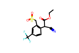 CCOC(=O)C(C#N)c1ccc(C(F)(F)F)cc1C[SH](=O)=O